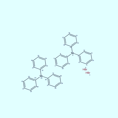 Br.Br.c1cc[c]([Sb]([c]2ccccc2)[c]2ccccc2)cc1.c1cc[c]([Sb]([c]2ccccc2)[c]2ccccc2)cc1